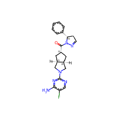 Nc1nc(N2C[C@H]3C[C@H](C(=O)N4N=CC[C@H]4c4ccccc4)C[C@H]3C2)ncc1F